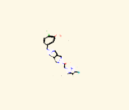 COc1cc(CN2CC3CN(C(=O)Cn4nc(C(F)(F)F)c(Cl)c4C)CC3C2)ccc1Cl